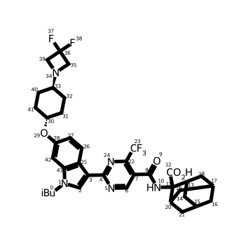 CCC(C)n1cc(-c2ncc(C(=O)NC3(C(=O)O)C4CC5CC(C4)CC3C5)c(C(F)(F)F)n2)c2ccc(O[C@H]3CC[C@H](N4CC(F)(F)C4)CC3)cc21